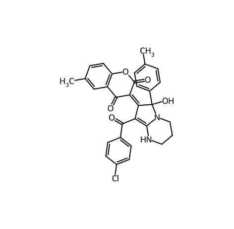 Cc1ccc(C2(O)C(=C3C(=O)Oc4ccc(C)cc4C3=O)C(C(=O)c3ccc(Cl)cc3)=C3NCCCN32)cc1